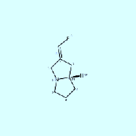 F/C=C1\C[C@@H]2CCCN2C1